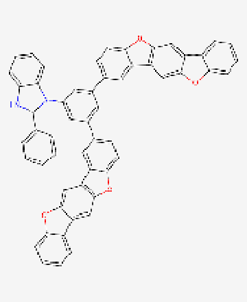 c1ccc(C2Nc3ccccc3N2c2cc(-c3ccc4oc5cc6c(cc5c4c3)oc3ccccc36)cc(-c3ccc4oc5cc6c(cc5c4c3)oc3ccccc36)c2)cc1